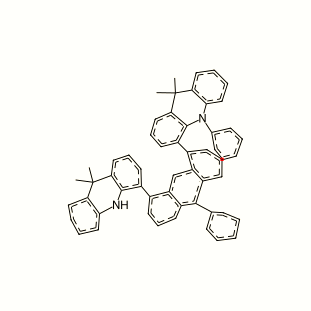 CC1(C)c2ccccc2Nc2c(-c3cccc4c(-c5ccccc5)c5cccc(-c6cccc7c6N(c6ccccc6)c6ccccc6C7(C)C)c5cc34)cccc21